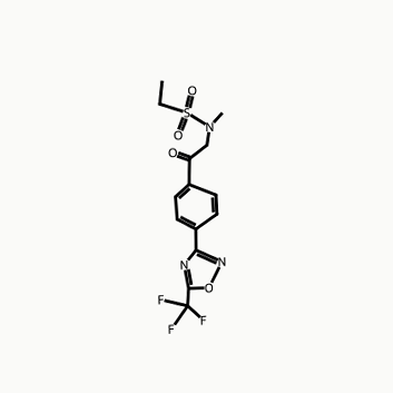 CCS(=O)(=O)N(C)CC(=O)c1ccc(-c2noc(C(F)(F)F)n2)cc1